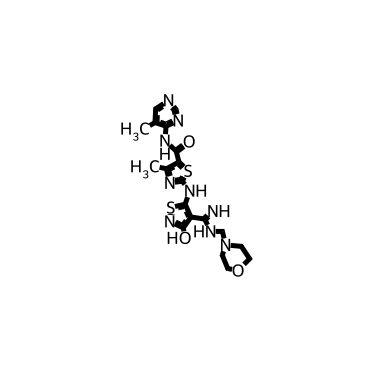 Cc1cncnc1NC(=O)c1sc(Nc2snc(O)c2C(=N)NCN2CCOCC2)nc1C